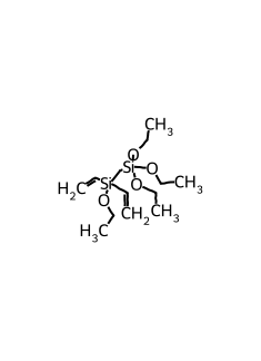 C=C[Si](C=C)(C[Si](OCC)(OCC)OCC)OCC